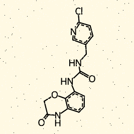 O=C1COc2c(cccc2NC(=O)NCc2ccc(Cl)nc2)N1